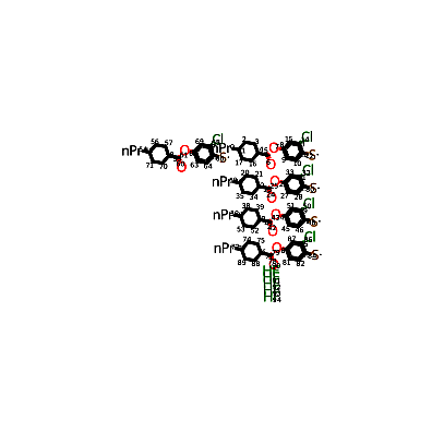 CCCC1CCC(C(=O)Oc2ccc([S])c(Cl)c2)CC1.CCCC1CCC(C(=O)Oc2ccc([S])c(Cl)c2)CC1.CCCC1CCC(C(=O)Oc2ccc([S])c(Cl)c2)CC1.CCCC1CCC(C(=O)Oc2ccc([S])c(Cl)c2)CC1.CCCC1CCC(C(=O)Oc2ccc([S])c(Cl)c2)CC1.F.F.F.F.F